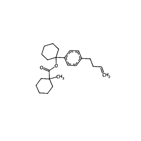 C=CCCc1ccc(C2(OC(=O)C3(C)CCCCC3)CCCCC2)cc1